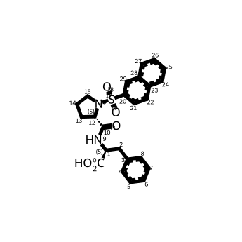 O=C(O)[C@H](Cc1ccccc1)NC(=O)[C@@H]1CCCN1S(=O)(=O)c1ccc2ccccc2c1